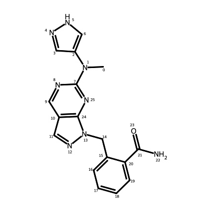 CN(c1cn[nH]c1)c1ncc2cnn(Cc3ccccc3C(N)=O)c2n1